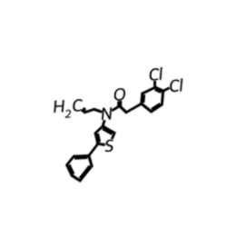 C=CCN(C(=O)Cc1ccc(Cl)c(Cl)c1)c1csc(-c2ccccc2)c1